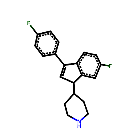 Fc1ccc(C2=CC(C3CCNCC3)c3cc(F)ccc32)cc1